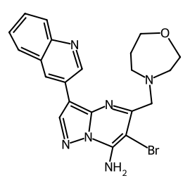 Nc1c(Br)c(CN2CCCOCC2)nc2c(-c3cnc4ccccc4c3)cnn12